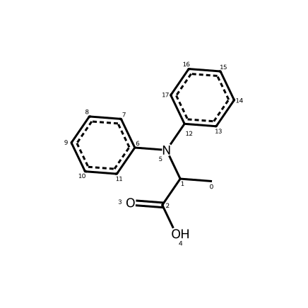 CC(C(=O)O)N(c1ccccc1)c1ccccc1